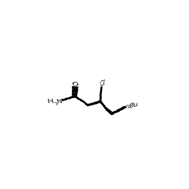 CCCCCC(Cl)CC(N)=O